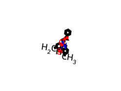 C=C1CCC2(OCCCc3ccccc3)C3Cc4ccc(C)c5c4[C@@]2(CCN3CC2CC2)[C@H]1O5